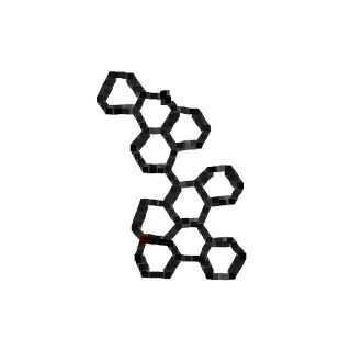 C1=CCCC(c2ccccc2-c2c3ccccc3c(-c3ccc4c5c(cccc35)Sc3ccccc3-4)c3ccccc23)=C1